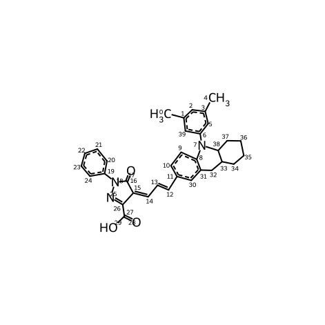 Cc1cc(C)cc(N2c3ccc(/C=C/C=C4\C(=O)N(c5ccccc5)N=C4C(=O)O)cc3CC3CCCCC32)c1